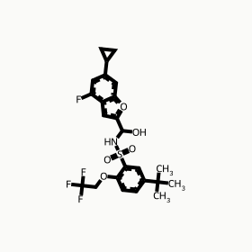 CC(C)(C)c1ccc(OCC(F)(F)F)c(S(=O)(=O)NC(O)c2cc3c(F)cc(C4CC4)cc3o2)c1